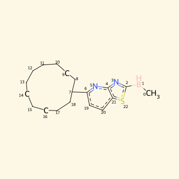 CBc1nc2nc(C3CCCCCCCCCCC3)ccc2s1